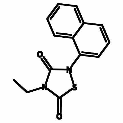 CCn1c(=O)sn(-c2cccc3ccccc23)c1=O